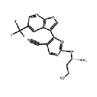 C[C@H](CCO)Nc1ncc(C#N)c(-c2c[nH]c3ncc(C(F)(F)F)cc23)n1